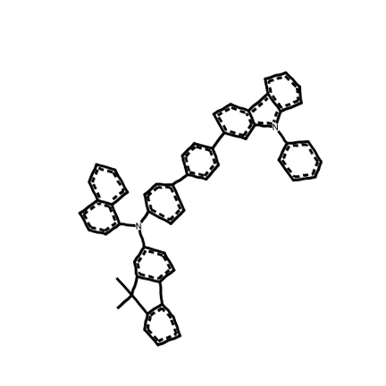 CC1(C)c2ccccc2-c2ccc(N(c3ccc(-c4ccc(-c5ccc6c7ccccc7n(-c7ccccc7)c6c5)cc4)cc3)c3cccc4ccccc34)cc21